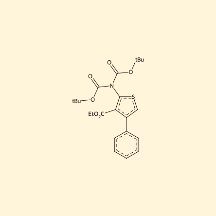 CCOC(=O)c1c(-c2ccccc2)csc1N(C(=O)OC(C)(C)C)C(=O)OC(C)(C)C